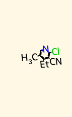 CCc1c(C)cnc(Cl)c1C#N